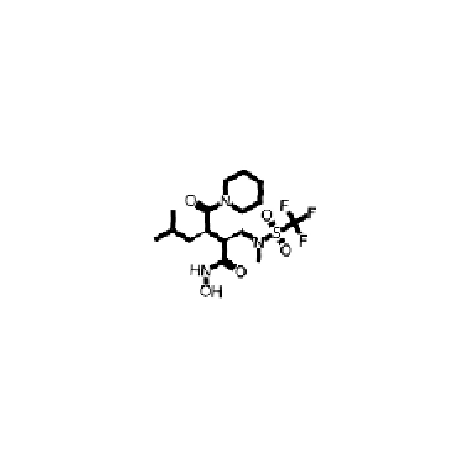 CC(C)C[C@@H](C(=O)N1CCCCC1)[C@@H](CN(C)S(=O)(=O)C(F)(F)F)C(=O)NO